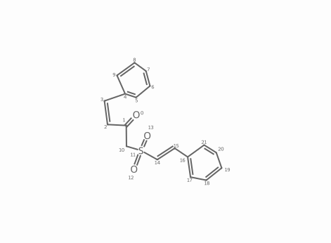 O=C(/C=C\c1ccccc1)CS(=O)(=O)C=Cc1ccccc1